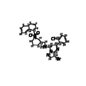 O=S(=O)(c1cccc2ccccc12)N1CCCC(CNc2cc(-c3ccccc3Cl)nc3c(Br)cnn23)C1